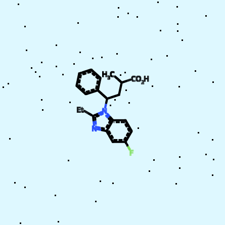 CCc1nc2cc(F)ccc2n1C(CC(C)C(=O)O)c1ccccc1